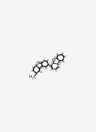 Cc1ccc2oc3ccc(C4=CC=CC5c6ccccc6OC45)cc3c2c1